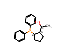 C[C@H](O)[C@H]1CCC[C@H]1P(c1ccccc1)c1ccccc1